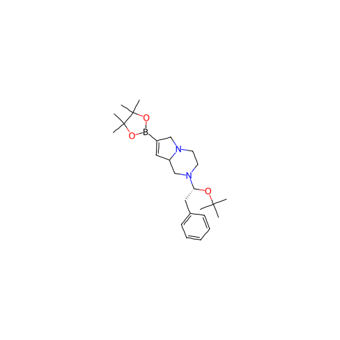 CC(C)(C)O[C@H](Cc1ccccc1)N1CCN2CC(B3OC(C)(C)C(C)(C)O3)=CC2C1